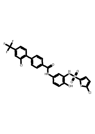 O=C(Nc1ccc(O)c(NS(=O)(=O)c2ccc(Cl)s2)c1)c1ccc(-c2ccc(C(F)(F)F)cc2Cl)cc1